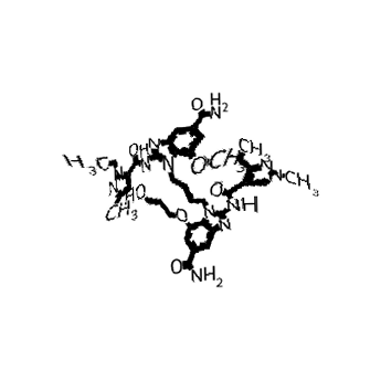 CCc1nn(C)cc1C(=O)Nc1nc2cc(C(N)=O)cc(OCCCO)c2n1CC=CCn1c(NC(=O)c2cc(C)nn2CC)nc2cc(C(N)=O)cc(OC)c21